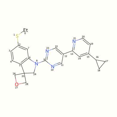 CCSc1ccc2c(c1)N(c1ncc(-c3cc(C4CC4)ccn3)cn1)CC21COC1